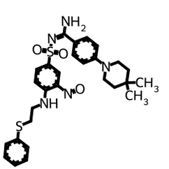 CC1(C)CCN(c2ccc(/C(N)=N\S(=O)(=O)c3ccc(NCCSc4ccccc4)c(N=O)c3)cc2)CC1